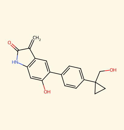 C=C1C(=O)Nc2cc(O)c(-c3ccc(C4(CO)CC4)cc3)cc21